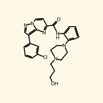 O=C(Nc1ccccc1N1CCN(CCCO)CC1)c1ccn2ncc(-c3cccc(Cl)c3)c2n1